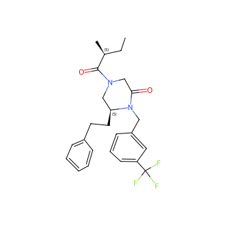 CC[C@H](C)C(=O)N1CC(=O)N(Cc2cccc(C(F)(F)F)c2)[C@@H](CCc2ccccc2)C1